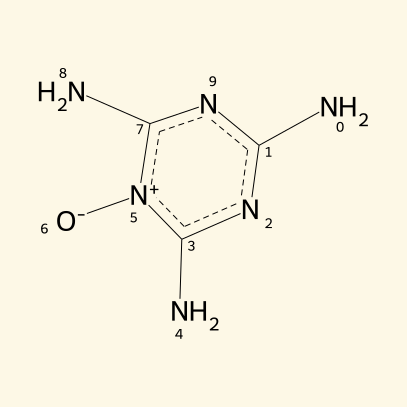 Nc1nc(N)[n+]([O-])c(N)n1